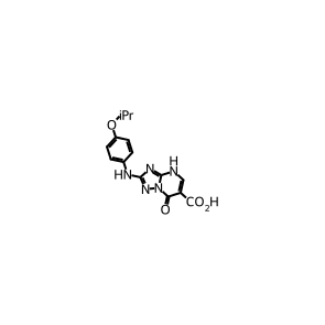 CC(C)Oc1ccc(Nc2nc3[nH]cc(C(=O)O)c(=O)n3n2)cc1